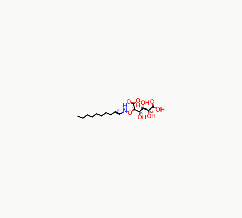 CCCCCCCC/C=C/NO[C@@H](C(=O)O)[C@@H](O)[C@H](O)[C@H](O)C(=O)O